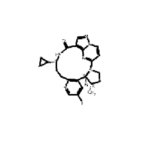 C[C@H]1CCN2c3ccn4ncc(c4n3)C(=O)N[C@H](C3CC3)CCc3ncc(F)cc3[C@H]12